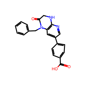 O=C(O)c1ccc(-c2cnc3c(c2)N(Cc2ccccc2)C(=O)CN3)cc1